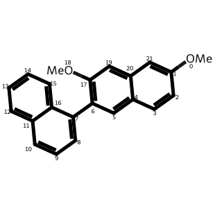 COc1ccc2cc(-c3cccc4ccccc34)c(OC)cc2c1